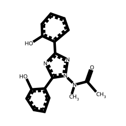 CC(=O)N(C)n1nc(-c2ccccc2O)nc1-c1ccccc1O